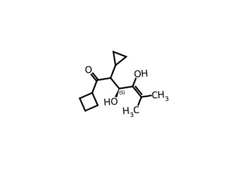 CC(C)=C(O)[C@@H](O)C(C(=O)C1CCC1)C1CC1